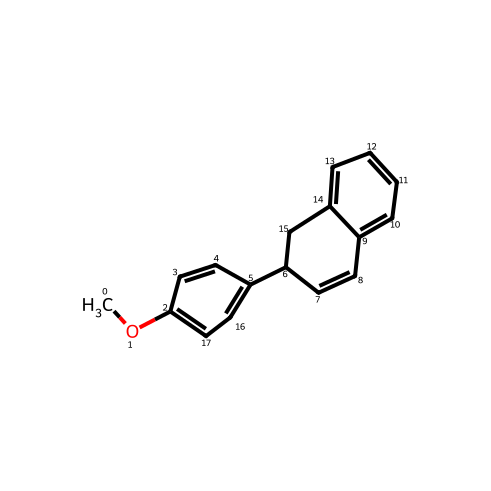 COc1ccc(C2C=Cc3ccccc3C2)cc1